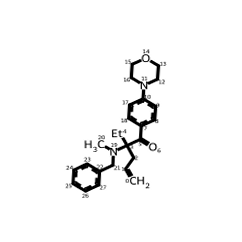 C=CCC(CC)(C(=O)c1ccc(N2CCOCC2)cc1)N(C)Cc1ccccc1